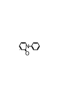 O=c1[c]cccn1-c1ccccc1